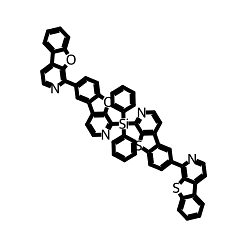 c1ccc([Si](c2ccccc2)(c2nccc3c2oc2ccc(-c4nccc5c4oc4ccccc45)cc23)c2nccc3c2sc2ccc(-c4nccc5c4sc4ccccc45)cc23)cc1